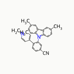 C=N/C=C\C(=C/C)c1ccc(C#N)cc1-n1c2ccc(C)cc2c2cc(C)ccc21